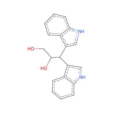 OCC(O)C(c1c[nH]c2ccccc12)c1c[nH]c2ccccc12